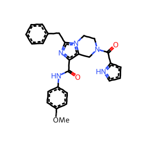 COc1ccc(NC(=O)c2nc(Cc3ccccc3)n3c2CN(C(=O)c2ccc[nH]2)CC3)cc1